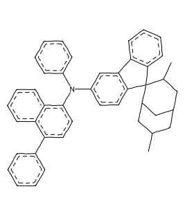 CC1CC2CC(C)C3(c4ccccc4-c4cc(N(c5ccccc5)c5ccc(-c6ccccc6)c6ccccc56)ccc43)C(C1)C2